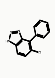 Clc1ccc2[nH]nnc2c1-c1ccccc1